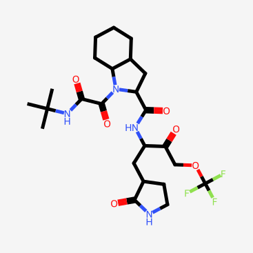 CC(C)(C)NC(=O)C(=O)N1C(C(=O)NC(CC2CCNC2=O)C(=O)COC(F)(F)F)CC2CCCCC21